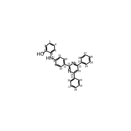 Oc1ccccc1Nc1ccc(-c2nc(-c3ccccc3)cc(-c3ccccc3)n2)cc1